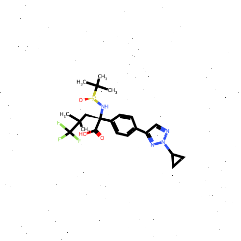 CC(C)(C)[S@+]([O-])N[C@@](CC(C)(C)C(F)(F)F)(C(=O)O)c1ccc(-c2cnn(C3CC3)n2)cc1